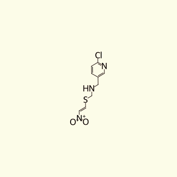 O=[N+]([O-])C=CSCNCc1ccc(Cl)nc1